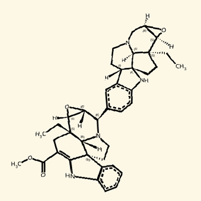 CC[C@@]12CC[C@@]34Nc5ccc([C@@H]6[C@H]7O[C@H]7[C@@]7(CC)CC(C(=O)OC)=C8Nc9ccccc9[C@@]89CCN6[C@@H]79)cc5[C@@H]3CCN(C[C@H]3O[C@H]31)[C@@H]24